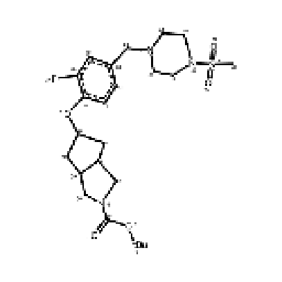 CC(C)(C)OC(=O)N1CC2CC(Oc3ccc(CN4CCN(S(C)(=O)=O)CC4)cc3F)CC2C1